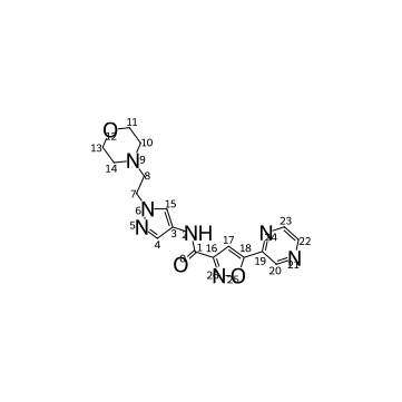 O=C(Nc1cnn(CCN2CCOCC2)c1)c1cc(-c2cnccn2)on1